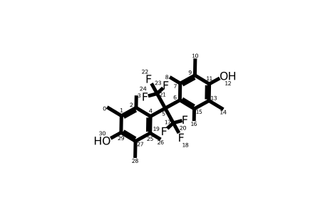 Cc1c(C)c(C(c2c(C)c(C)c(O)c(C)c2C)(C(F)(F)F)C(F)(F)F)c(C)c(C)c1O